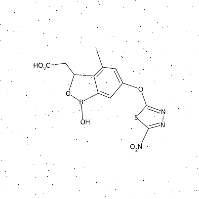 Cc1cc(Oc2nnc([N+](=O)[O-])s2)cc2c1C(CC(=O)O)OB2O